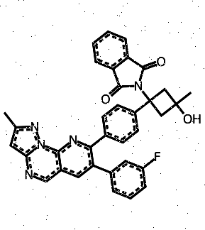 Cc1cc2ncc3cc(-c4cccc(F)c4)c(-c4ccc(C5(N6C(=O)c7ccccc7C6=O)CC(C)(O)C5)cc4)nc3n2n1